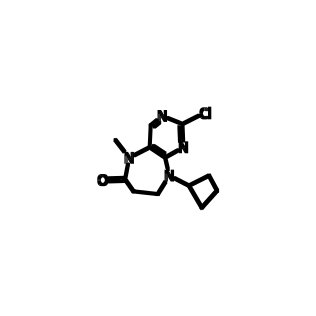 CN1C(=O)CCN(C2CCC2)c2nc(Cl)ncc21